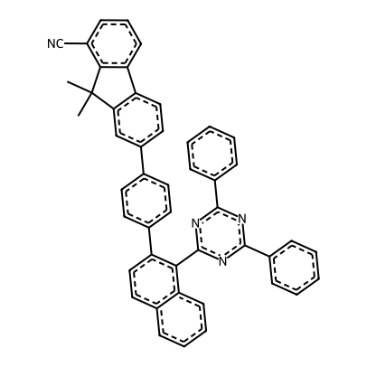 CC1(C)c2cc(-c3ccc(-c4ccc5ccccc5c4-c4nc(-c5ccccc5)nc(-c5ccccc5)n4)cc3)ccc2-c2cccc(C#N)c21